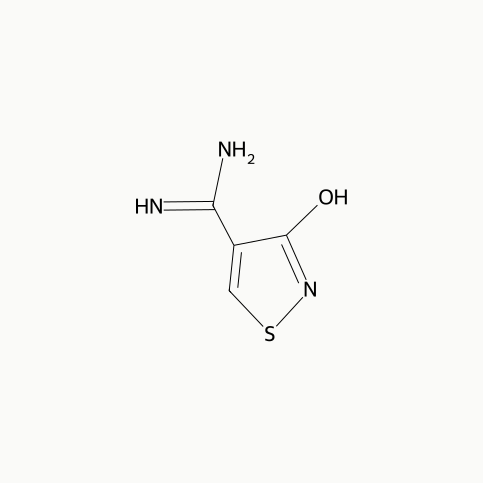 N=C(N)c1csnc1O